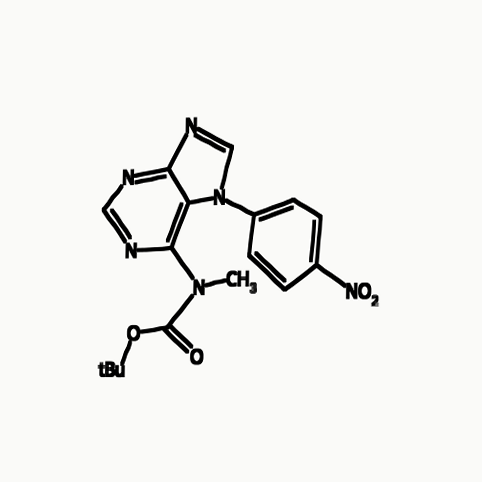 CN(C(=O)OC(C)(C)C)c1ncnc2ncn(-c3ccc([N+](=O)[O-])cc3)c12